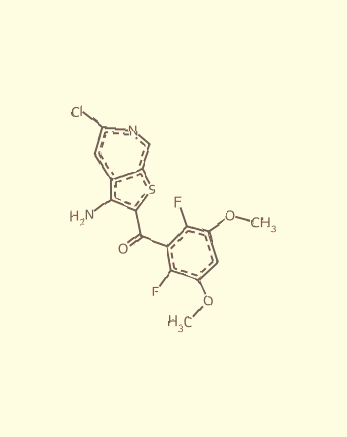 COc1cc(OC)c(F)c(C(=O)c2sc3cnc(Cl)cc3c2N)c1F